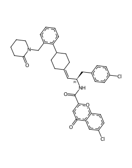 O=C(N[C@@H](C=C1CCC(c2ccccc2CN2CCCCC2=O)CC1)Cc1ccc(Cl)cc1)c1cc(=O)c2cc(Cl)ccc2o1